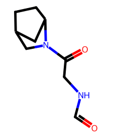 O=CNCC(=O)N1CC2CCC1C2